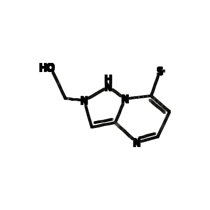 OCN1C=C2N=CC=C([S])N2N1